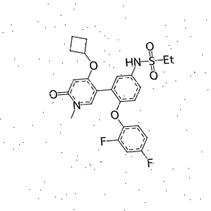 CCS(=O)(=O)Nc1ccc(Oc2ccc(F)cc2F)c(-c2cn(C)c(=O)cc2OC2CCC2)c1